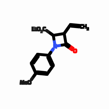 C=CC1C(=O)N(c2ccc(OC)cc2)C1C(=O)OCC